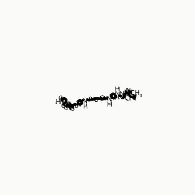 Cn1ncc(-c2nc(NC3CCC(NCCOCCOCCOCCNCc4ccc(OCc5scc6c5CN([C@H]5CCC(=O)NC5=O)C6=O)cc4)CC3)ncc2Cl)c1CC1CC1